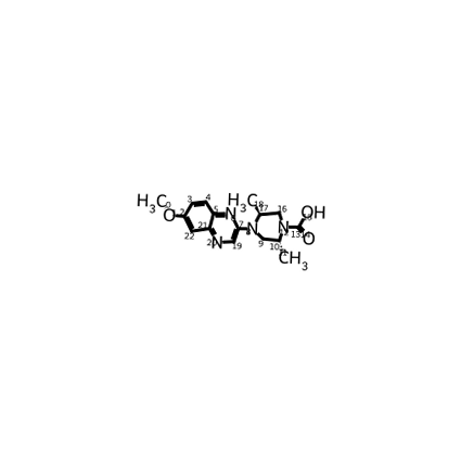 COc1ccc2nc(N3C[C@@H](C)N(C(=O)O)C[C@@H]3C)cnc2c1